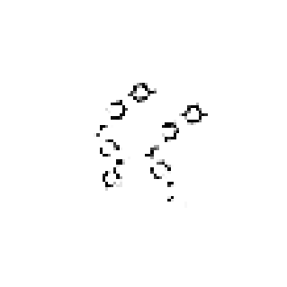 CC(C(=O)Nc1ccc(Oc2ccc(F)c(F)c2)cn1)N1CCN(C(=O)OC(C)(C)C)C(C)(C)C1.C[C@@H](C(=O)Nc1ccc(Oc2ccc(F)c(F)c2)cn1)N1CCN(C(=O)c2ccc(=O)[nH]c2)C(C)(C)C1